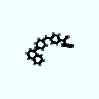 O=C(NO)c1ccc(CN2CCN(c3cccc4ccccc34)CC2)cc1